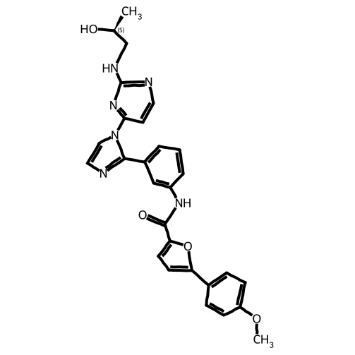 COc1ccc(-c2ccc(C(=O)Nc3cccc(-c4nccn4-c4ccnc(NC[C@H](C)O)n4)c3)o2)cc1